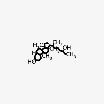 CCC(O)CCC[C@@H](C)[C@H]1CC[C@@]2(C)C3CC[C@H]4C[C@@H](O)CC[C@]4(C)C3CC[C@]12C